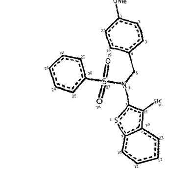 COc1ccc(CN(c2sc3ccccc3c2Br)S(=O)(=O)c2ccccc2)cc1